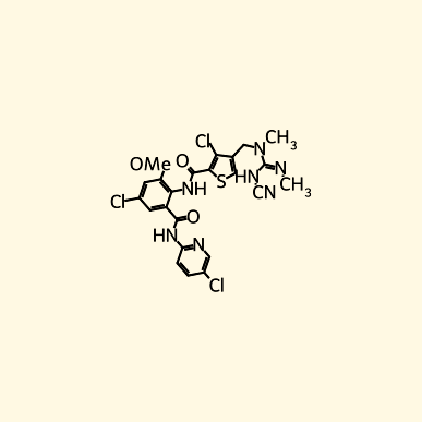 CN=C(NC#N)N(C)Cc1csc(C(=O)Nc2c(OC)cc(Cl)cc2C(=O)Nc2ccc(Cl)cn2)c1Cl